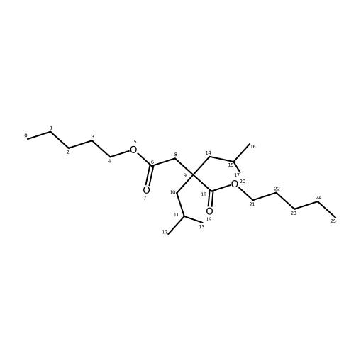 CCCCCOC(=O)CC(CC(C)C)(CC(C)C)C(=O)OCCCCC